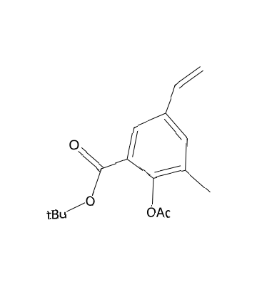 C=Cc1cc(C)c(OC(C)=O)c(C(=O)OC(C)(C)C)c1